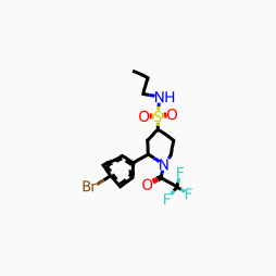 CCCNS(=O)(=O)C1CCN(C(=O)C(F)(F)F)C(c2ccc(Br)cc2)C1